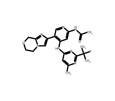 CC(=O)Nc1cc(Nc2cc(C)nc(C(C)(C)F)n2)c(-c2cn3c(n2)COCC3)cn1